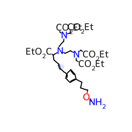 CCOC(=O)CN(CCN(CCN(CC(=O)OCC)CC(=O)OCC)C(C/C=C/c1ccc(CCCON)cc1)C(=O)OCC)CC(=O)OCC